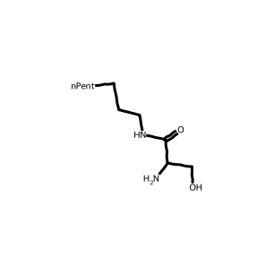 CCCCCCCCNC(=O)C(N)CO